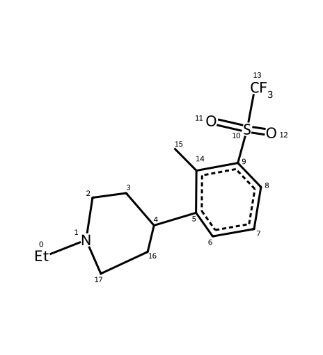 CCN1CCC(c2cccc(S(=O)(=O)C(F)(F)F)c2C)CC1